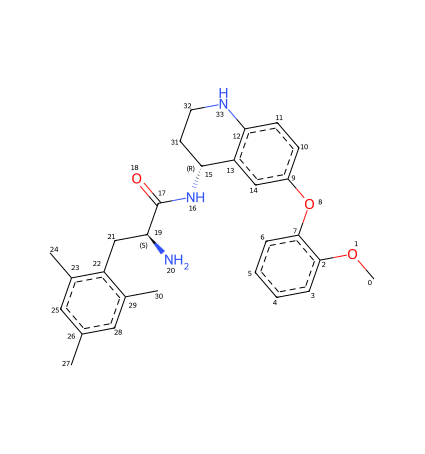 COc1ccccc1Oc1ccc2c(c1)[C@H](NC(=O)[C@@H](N)Cc1c(C)cc(C)cc1C)CCN2